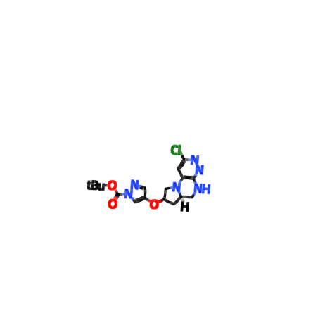 CC(C)(C)OC(=O)n1cc(O[C@@H]2C[C@@H]3CNc4nnc(Cl)cc4N3C2)cn1